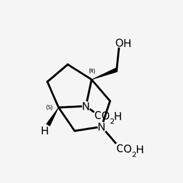 O=C(O)N1C[C@@H]2CC[C@](CO)(C1)N2C(=O)O